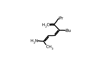 C=C(/C(=C\C=C(/C)N)C(C)CC)C(C)C